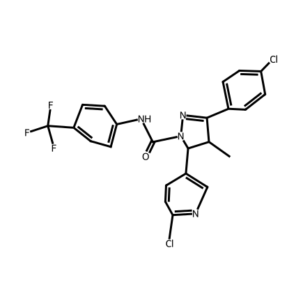 CC1C(c2ccc(Cl)cc2)=NN(C(=O)Nc2ccc(C(F)(F)F)cc2)C1c1ccc(Cl)nc1